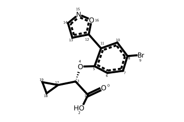 O=C(O)[C@@H](Oc1ccc(Br)cc1-c1ccno1)C1CC1